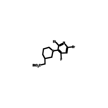 CCOC(=O)CC1CCCN(c2c(F)cc(Br)nc2CC)C1